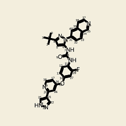 CC(C)(C)c1cc(NC(=O)Nc2ccc(Oc3ccnc(-c4cn[nH]c4)c3)cc2F)n(-c2ccc3cnccc3c2)n1